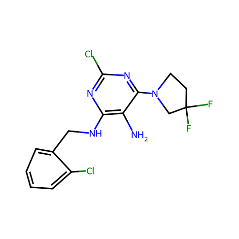 Nc1c(NCc2ccccc2Cl)nc(Cl)nc1N1CCC(F)(F)C1